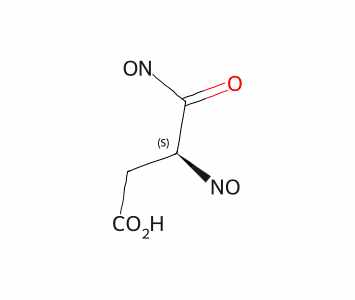 O=NC(=O)[C@H](CC(=O)O)N=O